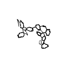 C1=Cc2ccc(-c3ccc4c(c3)c3ccncc3n4-c3ccccn3)cc2C2(c3ccccc31)c1ccccc1-c1c2ccc2c1oc1ccccc12